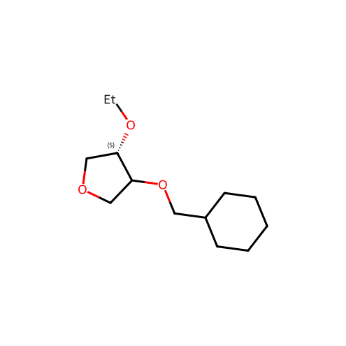 CCO[C@H]1COCC1OCC1CCCCC1